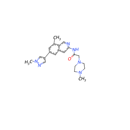 Cc1cc(-c2cnn(C)c2)cc2cc(NC(=O)CN3CCN(C)CC3)ncc12